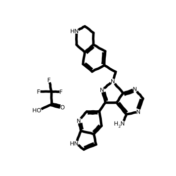 Nc1ncnc2c1c(-c1cnc3[nH]ccc3c1)nn2Cc1ccc2c(c1)CCNC2.O=C(O)C(F)(F)F